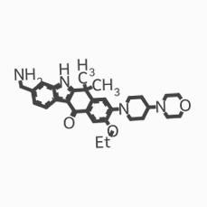 CCOc1cc2c(cc1N1CCC(N3CCOCC3)CC1)C(C)(C)c1[nH]c3cc(CN)ccc3c1C2=O